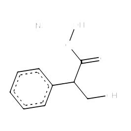 CCC(C(=O)OO)c1ccccc1.[NaH]